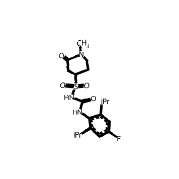 CC(C)c1cc(F)cc(C(C)C)c1NC(=O)NS(=O)(=O)C1CCN(C)C(=O)C1